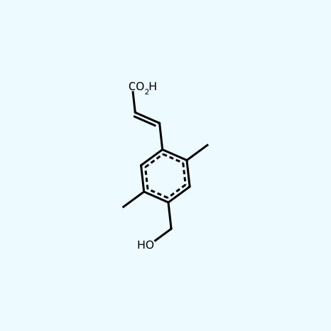 Cc1cc(CO)c(C)cc1/C=C/C(=O)O